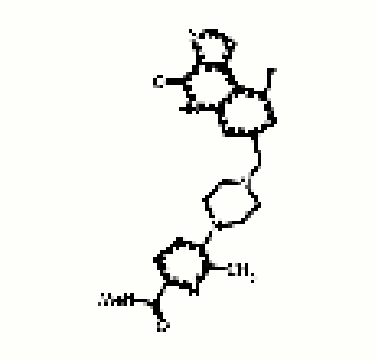 CNC(=O)c1ccc(N2CCN(Cc3cc(F)c4c(c3)[nH]c(=O)c3sccc34)CC2)c(C)n1